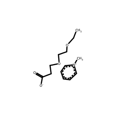 CCOCCOCCC(=O)[O-].C[n+]1ccccc1